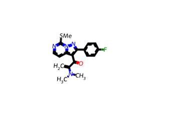 C=C(C(=O)c1c(-c2ccc(F)cc2)nn2c(SC)nccc12)N(C)C